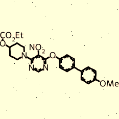 CCOC(=O)OC1CCN(c2ncnc(Oc3ccc(-c4ccc(OC)cc4)cc3)c2[N+](=O)[O-])CC1